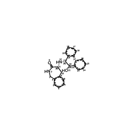 O=C1NCc2ccccc2C[C@H]1N[C@H](c1ccccc1)[C@H](O)c1ccccc1